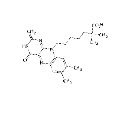 C=c1nc2c(c(=O)[nH]1)=Nc1cc(C)c(C)cc1N2CCCCCC(C)(C)C(=O)O